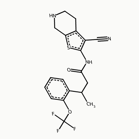 CC(CC(=O)Nc1sc2c(c1C#N)CCNC2)c1ccccc1OC(F)(F)F